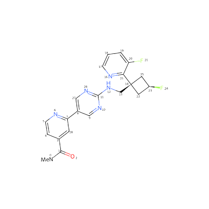 CNC(=O)c1ccnc(-c2cnc(NC[C@]3(c4ncccc4F)C[C@H](F)C3)nc2)c1